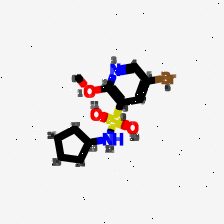 COc1ncc(Br)cc1S(=O)(=O)NC1CCCC1